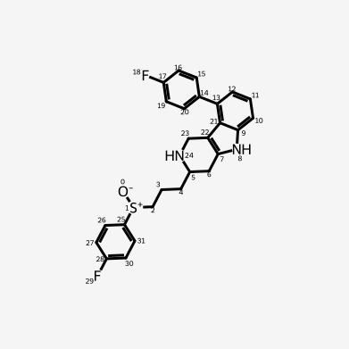 [O-][S+](CCCC1Cc2[nH]c3cccc(-c4ccc(F)cc4)c3c2CN1)c1ccc(F)cc1